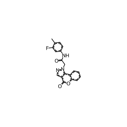 Cc1ccc(NC(=O)Cn2ncc3c(=O)oc4ccccc4c32)cc1F